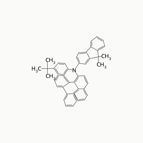 CC(C)(C)c1ccc(N(c2ccc3c(c2)C(C)(C)c2ccccc2-3)c2ccc3ccccc3c2-c2ccccc2-c2ccccc2)cc1